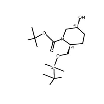 CC(C)(C)OC(=O)N1C[C@H](O)CC[C@H]1CO[Si](C)(C)C(C)(C)C